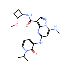 CNc1cc(Nc2cccn(C(C)C)c2=O)nc2c(C(=O)N[C@@H]3CC[C@H]3OC)cnn12